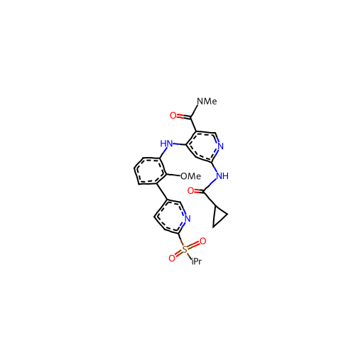 CNC(=O)c1cnc(NC(=O)C2CC2)cc1Nc1cccc(-c2ccc(S(=O)(=O)C(C)C)nc2)c1OC